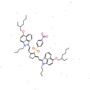 CCCCC(CC)COc1ccc2c3c(cccc13)C(/C=C/C1=C(S(=O)(=O)c3ccc([N+](=O)[O-])cc3)C(=C/C=c3\c4cccc5c(OCC(CC)CCCC)ccc(c54)n3CCCC)/CC1)=[N+]2CCCC